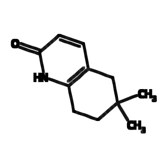 CC1(C)CCc2[nH]c(=O)ccc2C1